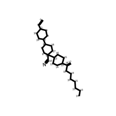 C=CC1CCC(C2CCC(C#N)(C3CCC(C(=C)CCCCCCC)CC3)CC2)CC1